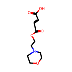 O=C(O)C=CC(=O)OCCN1CCOCC1